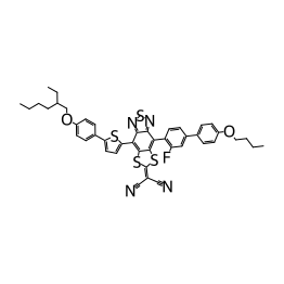 CCCCOc1ccc(-c2ccc(-c3c4c(c(-c5ccc(-c6ccc(OCC(CC)CCCC)cc6)s5)c5nsnc35)SC(=C(C#N)C#N)S4)c(F)c2)cc1